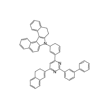 C1=CC(c2cc(C3=Cc4ccccc4CC3)nc(-c3cccc(-c4ccccc4)c3)n2)=CC(n2c3c(c4c5ccccc5ccc42)-c2ccccc2CC3)C1